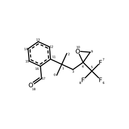 CC(C)(CC1(C(F)(F)F)CO1)c1ccccc1C=O